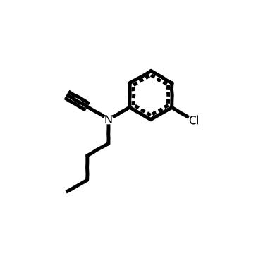 C#CN(CCCC)c1cccc(Cl)c1